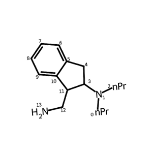 CCCN(CCC)C1Cc2ccccc2C1CN